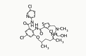 CC(=N)CCC(C)COc1cc(Cl)cc(C(=O)Nc2ccc(Cl)cn2)c1NC(=O)c1scc(CN(C)CCO)c1Cl